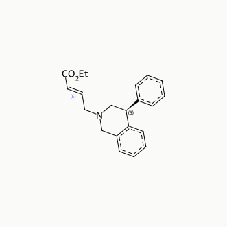 CCOC(=O)/C=C/CN1Cc2ccccc2[C@H](c2ccccc2)C1